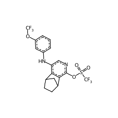 O=S(=O)(Oc1ncc(Nc2cccc(OC(F)(F)F)c2)c2c1C1CCC2C1)C(F)(F)F